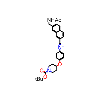 CC(=O)NCc1ccc2ccc(C#[N+]c3ccc(OC4CCN(C(=O)OC(C)(C)C)CC4)cc3)cc2c1